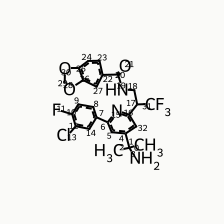 CC(C)(N)c1cc(-c2ccc(F)c(Cl)c2)nc(C(CNC(=O)c2ccc3c(c2)OCO3)C(F)(F)F)c1